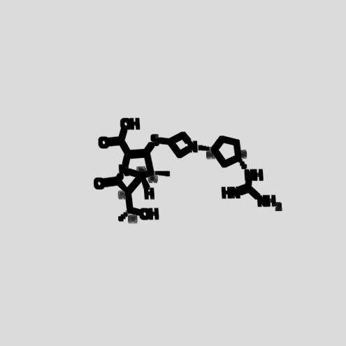 C[C@@H](O)[C@H]1C(=O)N2C(C(=O)O)=C(SC3CN([C@@H]4CC[C@H](NC(=N)N)C4)C3)[C@H](C)[C@H]12